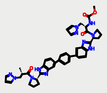 COC(=O)N[C@@H](Cn1cccn1)C(=O)N1CCC[C@H]1c1nc2cc(-c3ccc(-c4ccc5[nH]c([C@@H]6CCCN6C(=O)[C@@H](C)Cn6cccn6)nc5c4)cc3)ccc2[nH]1